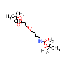 CC(C)(C)OC(=O)CCOCCCCNC(=O)OC(C)(C)C